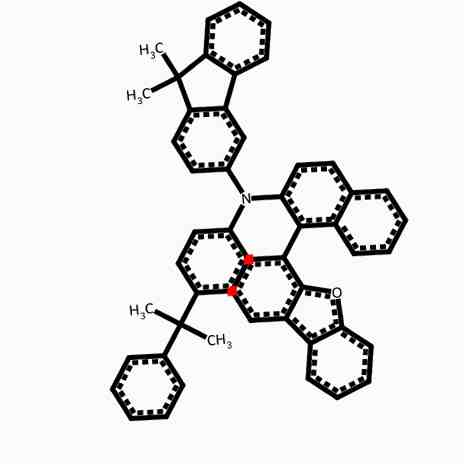 CC(C)(c1ccccc1)c1ccc(N(c2ccc3c(c2)-c2ccccc2C3(C)C)c2ccc3ccccc3c2-c2cccc3c2oc2ccccc23)cc1